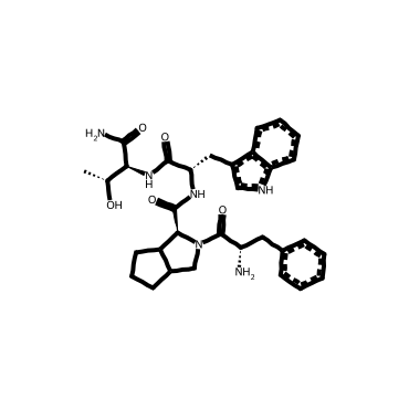 C[C@@H](O)[C@H](NC(=O)[C@H](Cc1c[nH]c2ccccc12)NC(=O)[C@@H]1C2CCCC2CN1C(=O)[C@@H](N)Cc1ccccc1)C(N)=O